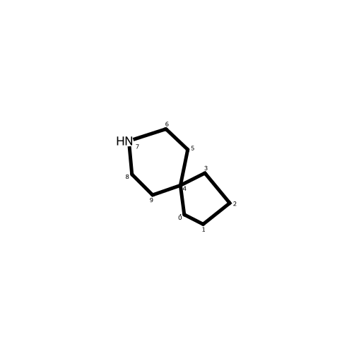 [CH]1CCCC12CCNCC2